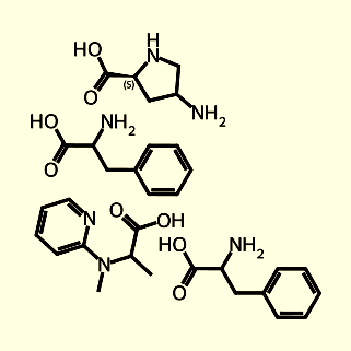 CC(C(=O)O)N(C)c1ccccn1.NC(Cc1ccccc1)C(=O)O.NC(Cc1ccccc1)C(=O)O.NC1CN[C@H](C(=O)O)C1